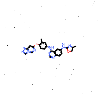 Cc1cc(Nc2ncnc3ccc(NC4=NC(C)CO4)cc23)ccc1Oc1cc2nncn2cn1